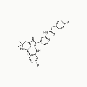 CC1(C)Cc2[nH]c(-c3ccnc(NC(=O)Cc4ccc(F)cc4)c3)c(Nc3cccc(F)c3)c2C(=O)N1